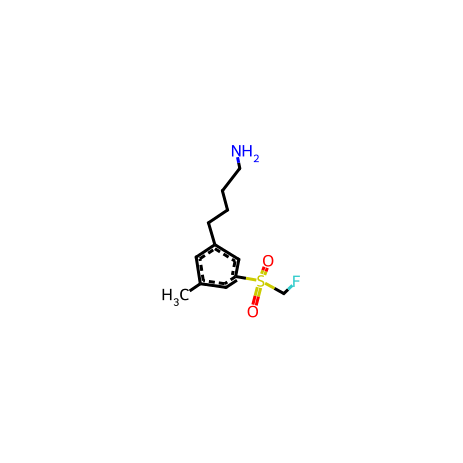 Cc1cc(CCCCN)cc(S(=O)(=O)CF)c1